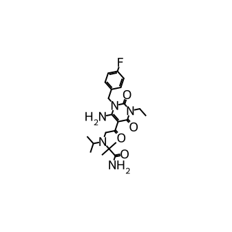 CCn1c(=O)c(C(=O)CN(C(C)C)C(C)(C)C(N)=O)c(N)n(Cc2ccc(F)cc2)c1=O